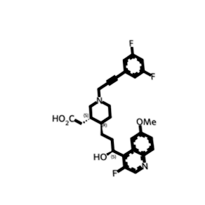 COc1ccc2ncc(F)c([C@@H](O)CC[C@@H]3CCN(CC#Cc4cc(F)cc(F)c4)C[C@H]3CC(=O)O)c2c1